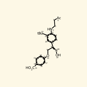 CC(=O)CCNc1ccc(C(COc2ccc(C(=O)O)cc2)=NO)cc1C(C)(C)C